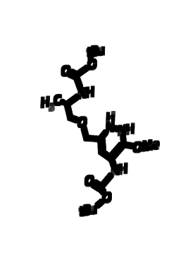 COC1=C(NC(=O)OC(C)(C)C)C=C(COC[C@@H](C)NC(=O)OC(C)(C)C)NN1